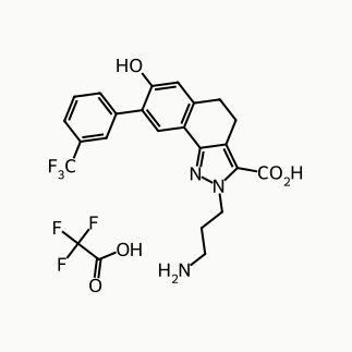 NCCCn1nc2c(c1C(=O)O)CCc1cc(O)c(-c3cccc(C(F)(F)F)c3)cc1-2.O=C(O)C(F)(F)F